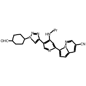 CC(C)Nc1cc(-c2ccc3cc(C#N)cnn23)ncc1-c1cn(C2CCC(C=O)CC2)nn1